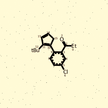 CCC(=O)c1cc(Cl)ccc1C1=C(C(C)(C)C)C=CC1